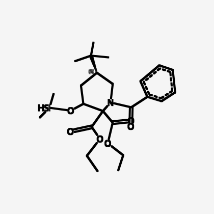 CCOC(=O)C1(C(=O)OCC)C(O[SiH](C)C)C[C@@H](C(C)(C)C)CN1C(=O)c1ccccc1